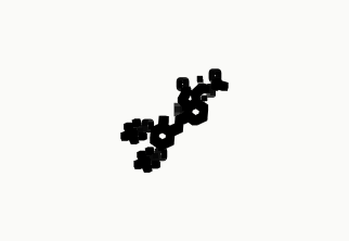 C=C1C(=CC=C2CCC[C@]3(C)[C@@H]([C@H](C)SC(C)=O)C(=O)C[C@@H]23)C[C@@H](O[Si](C)(C)C(C)(C)C)C[C@@H]1O[Si](C)(C)C(C)(C)C